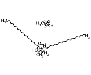 CCCCCCCCCCCCCCCCCC(=O)OC(C)(OC(=O)CCCCCCCCCCCCCCCCC)N(C)C(C)O.COS(=O)(=O)O